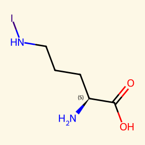 N[C@@H](CCCNI)C(=O)O